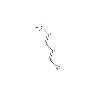 [CH2]C=CC=CC[CH2]